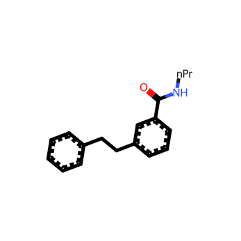 CCCNC(=O)c1cccc(CCc2ccccc2)c1